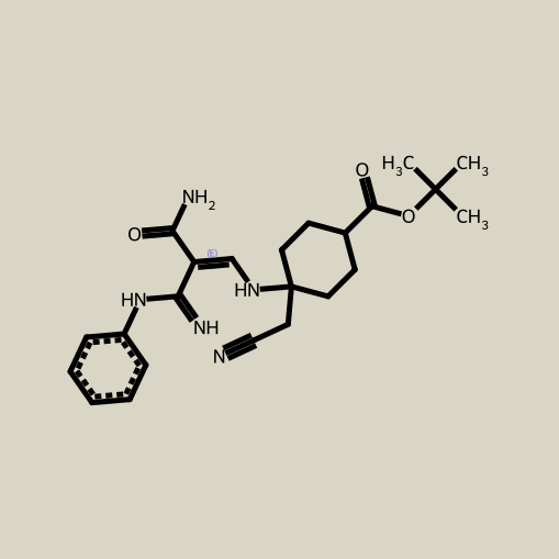 CC(C)(C)OC(=O)C1CCC(CC#N)(N/C=C(\C(=N)Nc2ccccc2)C(N)=O)CC1